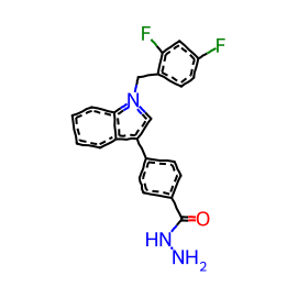 NNC(=O)c1ccc(-c2cn(Cc3ccc(F)cc3F)c3ccccc23)cc1